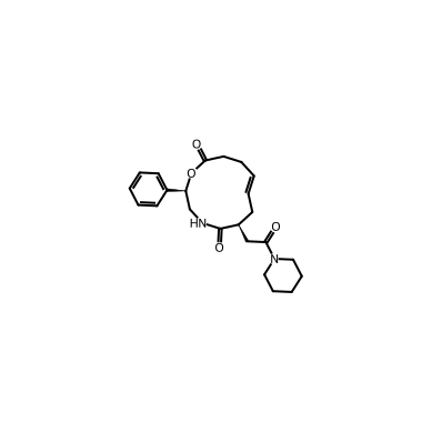 O=C1CC/C=C/C[C@@H](CC(=O)N2CCCCC2)C(=O)NC[C@@H](c2ccccc2)O1